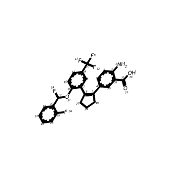 Nc1ccc(C2=C(c3cc(C(F)(F)F)ccc3OC(F)c3ccccc3F)CCC2)cc1C(=O)O